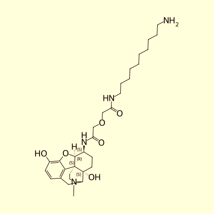 CN1CC[C@]23c4c5ccc(O)c4O[C@H]2[C@@H](NC(=O)COCC(=O)NCCCCCCCCCCN)CC[C@@]3(O)C1C5